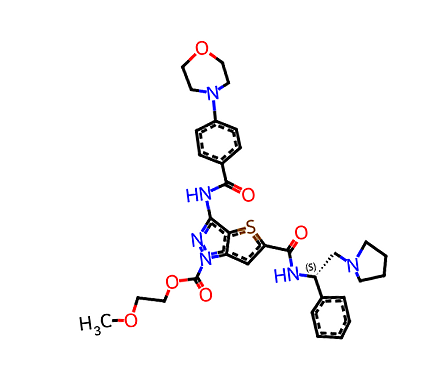 COCCOC(=O)n1nc(NC(=O)c2ccc(N3CCOCC3)cc2)c2sc(C(=O)N[C@H](CN3CCCC3)c3ccccc3)cc21